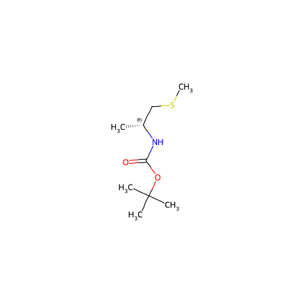 CSC[C@@H](C)NC(=O)OC(C)(C)C